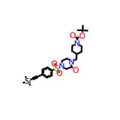 CC(C)(C)OC(=O)N1CCC(CN2CCN(S(=O)(=O)c3ccc(C#C[Si](C)(C)C)cc3)CC2=O)CC1